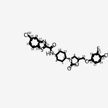 O=C(N[C@H]1CC[C@H](N2CC(COc3ccc(Cl)c(F)c3)OC2=O)CC1)c1nc2cc(Cl)ccc2s1